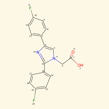 O=C(O)Cn1cc(-c2ccc(F)cc2)nc1-c1ccc(F)cc1